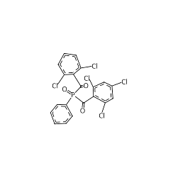 O=C(c1c(Cl)cccc1Cl)P(=O)(C(=O)c1c(Cl)cc(Cl)cc1Cl)c1ccccc1